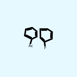 CC(=O)c1ccccc1.Fc1ccccc1